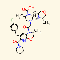 CC1COc2nc(C(=O)N3CCCCC3)c(Cc3ccc(F)cc3)cc2N1C(=O)CN1C[C@@H](C)N(C(=O)O)C[C@@H]1CN1[C@H](C)COC[C@H]1C